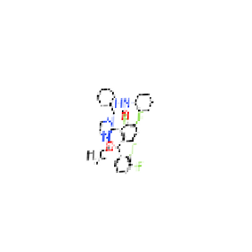 COC(c1cccc(F)c1F)c1ccc(F)c(F)c1-c1nccn1C(C(=O)NC1CCCCC1)C1CCCCC1